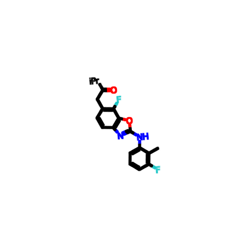 Cc1c(F)cccc1Nc1nc2ccc(CC(=O)C(C)C)c(F)c2o1